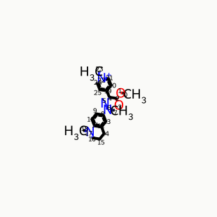 COC(=O)/C(=N\N(C)c1ccc2c(c1)CCCN2C)c1cc[n+](C)cc1